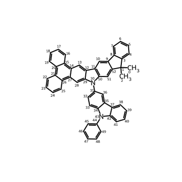 CC1(C)c2ccccc2-c2cc3c4cc5c6ccccc6c6ccccc6c5cc4n(-c4ccc5c(c4)c4ccccc4n5-c4ccccc4)c3cc21